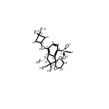 CS(=O)(=O)c1ccc(OC2CC(F)(F)C2)c2c1C1(OCCO1)C(F)(F)[C@@H]2F